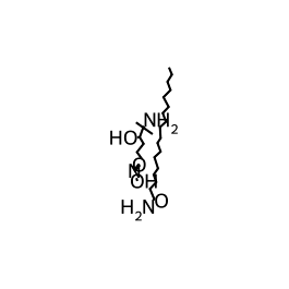 CCCC(O)C(C)(C)N.CCCCCCCCCCCCCCCCCC(N)=O.O=NO